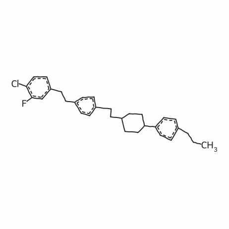 CCCc1ccc(C2CCC(CCc3ccc(CCc4ccc(Cl)c(F)c4)cc3)CC2)cc1